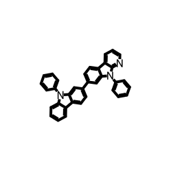 c1ccc(-n2c3ccccc3c3ccc(-c4ccc5c6cccnc6n(-c6ccccc6)c5c4)cc32)cc1